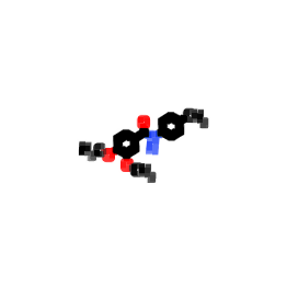 COc1ccc(C(=O)Nc2ccc(C)cc2)cc1OC